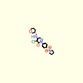 O=c1c(Cl)c(NC[C@H]2CCCOC2)cnn1-c1ccc(S(=O)(=O)N2CCCC2)cc1